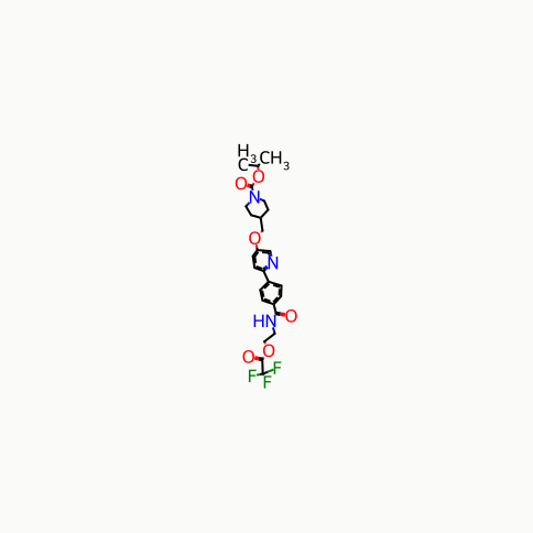 CC(C)OC(=O)N1CCC(COc2ccc(-c3ccc(C(=O)NCCOC(=O)C(F)(F)F)cc3)nc2)CC1